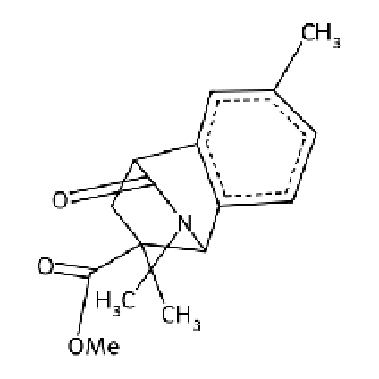 COC(=O)C1(C)CC2C(=O)N(C)C1c1ccc(C)cc12